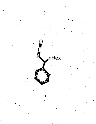 CCCCCCC(N=C=O)c1[c]cccc1